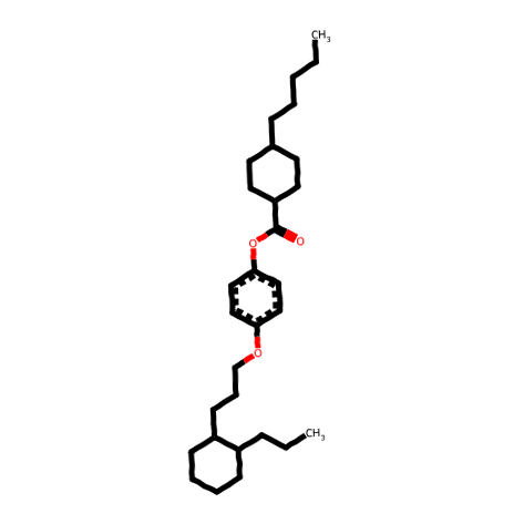 CCCCCC1CCC(C(=O)Oc2ccc(OCCCC3CCCCC3CCC)cc2)CC1